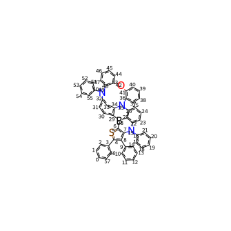 c1ccc(-c2sc3c(c2-c2ccccc2)N(c2ccccc2)c2cccc4c2B3c2ccc3cc2N4c2ccccc2Oc2ccccc2N3c2ccccc2)cc1